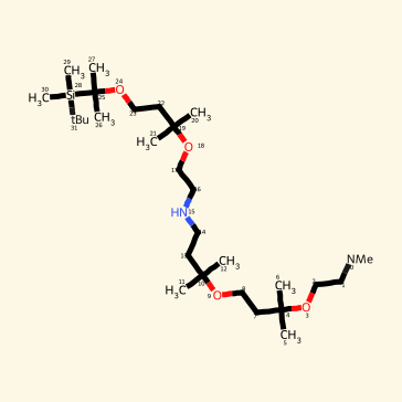 CNCCOC(C)(C)CCOC(C)(C)CCNCCOC(C)(C)CCOC(C)(C)[Si](C)(C)C(C)(C)C